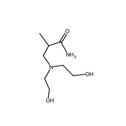 CC(CN(CCO)CCO)C(N)=O